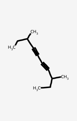 CCC(C)C#CC#CC(C)CC